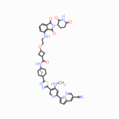 CNc1cc(-c2ccc3cc(C#N)cnn23)ncc1-c1nnc(C23CCC(NC(=O)C4CC(OCCNc5cccc6c5C(=O)N([C@H]5CCC(=O)NC5=O)C6=O)C4)(CC2)CC3)s1